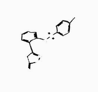 Cc1ccc(S(=O)(=O)Nc2ccccc2C2=NOC(=O)C2)cc1